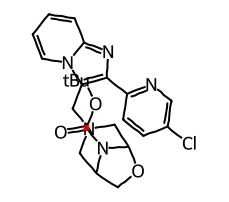 CC(C)(C)OC(=O)N1C2COC1CN(Cc1c(-c3ccc(Cl)cn3)nc3ccccn13)C2